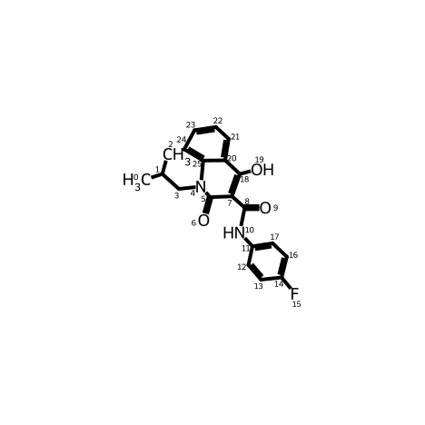 CC(C)Cn1c(=O)c(C(=O)Nc2ccc(F)cc2)c(O)c2ccccc21